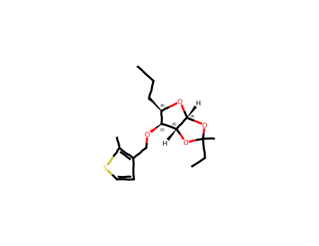 CCC[C@H]1O[C@@H]2OC(C)(CC)O[C@@H]2[C@H]1OCc1ccsc1C